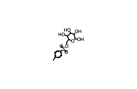 Cc1ccc(S(=O)(=O)OCC2OC(O)C(O)C(O)C2O)cc1